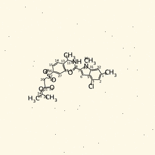 Cc1cc(Cl)c2cc(C(=O)NC(C)c3ccc(S(=O)(=O)CC(=O)OC(C)C)cc3)n(C)c2c1